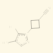 Cc1c(N)cnn1C1CC(C#N)C1